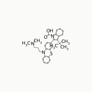 CN(C)CCCN1c2ccccc2Sc2cc(-c3c(C(C)(C)C)c4ccccc4n3C(=O)O)ccc21